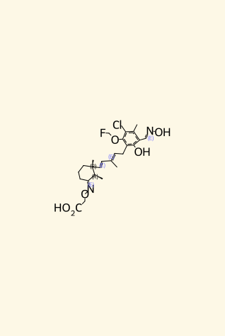 CC(/C=C/[C@@]1(C)CCC/C(=N\OCC(=O)O)[C@@H]1C)=C\Cc1c(O)c(/C=N/O)c(C)c(Cl)c1OCF